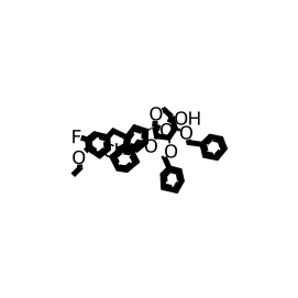 CCOc1ccc(Cc2cc([C@]34OC[C@](O)(O3)[C@@H](OCc3ccccc3)[C@H](OCc3ccccc3)[C@H]4OCc3ccccc3)ccc2Cl)cc1F